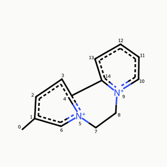 Cc1ccc2[n+](c1)CC[n+]1ccccc1-2